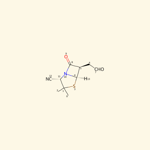 CC1(C)S[C@@H]2[C@H](CC=O)C(=O)N2[C@H]1C#N